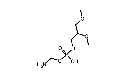 COCC(COP(=O)(O)OCN)OC